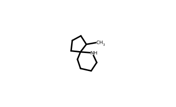 CC1CCCC12CCCCN2